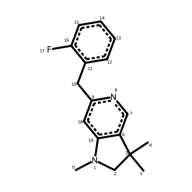 CN1CC(C)(C)c2cnc(Cc3ccccc3F)cc21